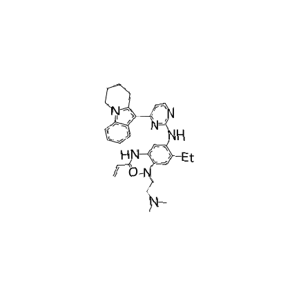 C=CC(=O)Nc1cc(Nc2nccc(-c3c4n(c5ccccc35)CCCC4)n2)c(CC)cc1N(C)CCN(C)C